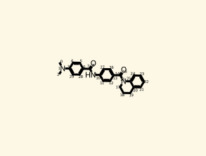 CN(C)c1ccc(C(=O)Nc2ccc(C(=O)N3CCCc4ccccc43)cc2)cc1